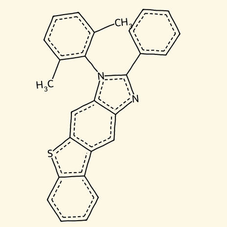 Cc1cccc(C)c1-n1c(-c2ccccc2)nc2cc3c(cc21)sc1ccccc13